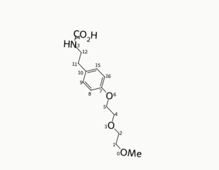 COCCOCCOc1ccc(CCNC(=O)O)cc1